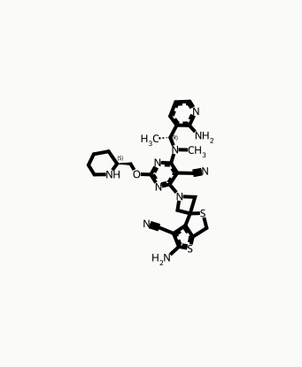 C[C@H](c1cccnc1N)N(C)c1nc(OC[C@@H]2CCCCN2)nc(N2CC3(C2)SCc2sc(N)c(C#N)c23)c1C#N